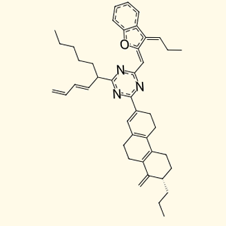 C=C/C=C/C(CCCCC)c1nc(/C=c2\oc3ccccc3\c2=C\CC)nc(C2=CC3=C(CC2)C2=C(CC3)C(=C)[C@@H](CCC)CC2)n1